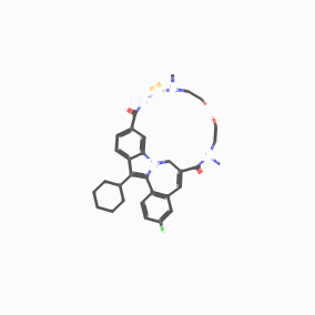 CN1CCOCCN(C)S(=O)(=O)NC(=O)c2ccc3c(C4CCCCC4)c4n(c3c2)CC(=Cc2cc(Cl)ccc2-4)C1=O